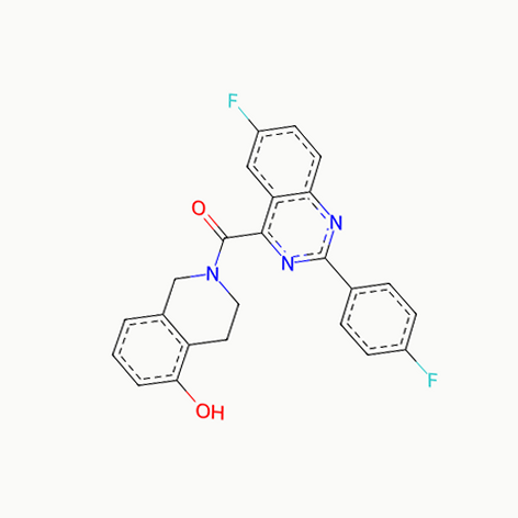 O=C(c1nc(-c2ccc(F)cc2)nc2ccc(F)cc12)N1CCc2c(O)cccc2C1